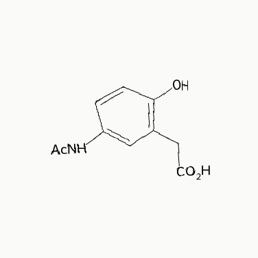 CC(=O)Nc1ccc(O)c(CC(=O)O)c1